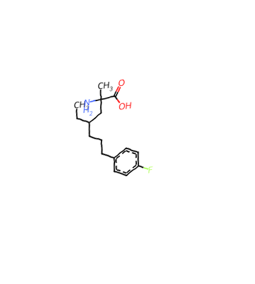 CCC(CCCc1ccc(F)cc1)CC(C)(N)C(=O)O